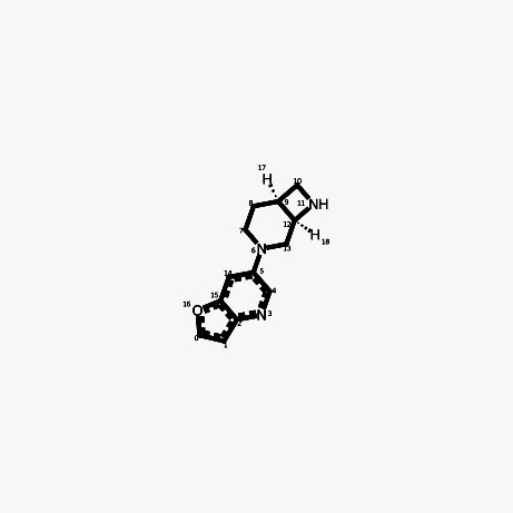 c1cc2ncc(N3CC[C@H]4CN[C@H]4C3)cc2o1